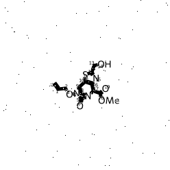 C=CCON1C(=O)N2CC1c1sc(CO)nc1C2C(=O)OC